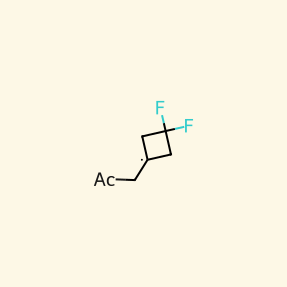 CC(=O)C[C]1CC(F)(F)C1